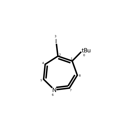 CC(C)(C)C1=C(I)C=CN=C=C1